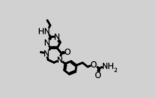 CCNc1ncc2c(n1)N(C)CCN(c1cccc(CCOC(N)=O)c1)C2=O